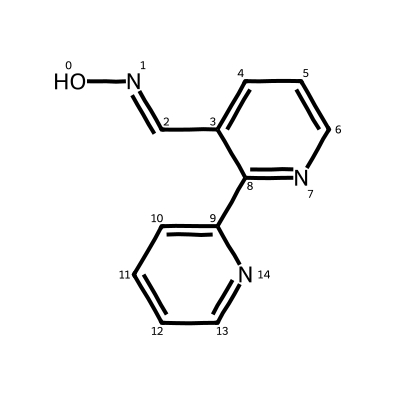 ON=Cc1cccnc1-c1ccccn1